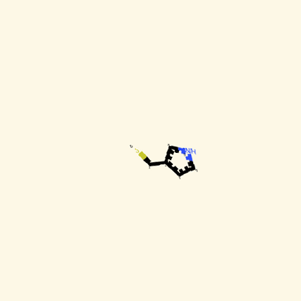 S=Cc1cc[nH]c1